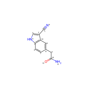 N#Cc1c[nH]c2ccc(CC(N)=O)cc12